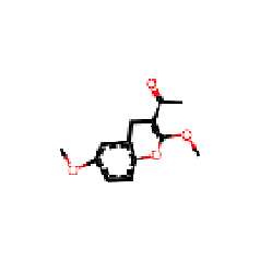 COC1=C(C(C)=O)Cc2cc(OC)ccc2O1